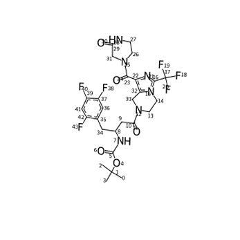 CC(C)(C)OC(=O)NC(CC(=O)N1CCn2c(C(F)(F)F)nc(C(=O)N3CCNC(=O)C3)c2C1)Cc1cc(F)c(F)cc1F